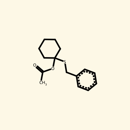 CC(=O)OC1(SCc2ccccc2)CCCCC1